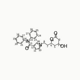 O=C1CC(O)CC(CCn2ccc(C(=O)N(c3ccccc3)c3ccccc3)c2)O1